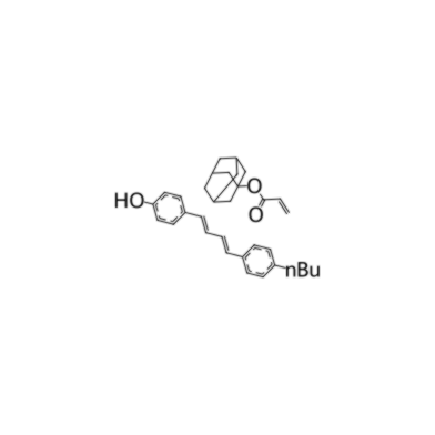 C=CC(=O)OC12CC3CC(CC(C3)C1)C2.CCCCc1ccc(C=CC=Cc2ccc(O)cc2)cc1